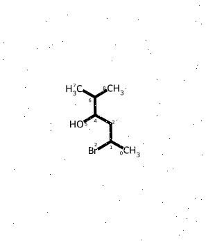 CC(Br)CC(O)C(C)C